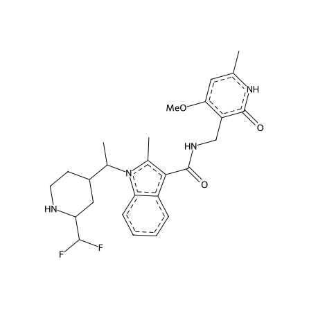 COc1cc(C)[nH]c(=O)c1CNC(=O)c1c(C)n(C(C)C2CCNC(C(F)F)C2)c2ccccc12